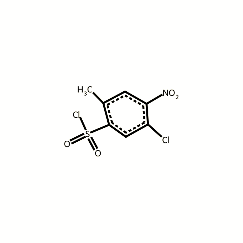 Cc1cc([N+](=O)[O-])c(Cl)cc1S(=O)(=O)Cl